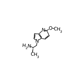 COc1ccc2c(ccn2C[C@@H](C)N)n1